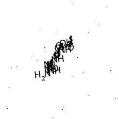 CCCC(C)(C)C(=O)CC[C@H](NC(=O)c1ccc(NCc2cnc3nc(N)[nH]c(=O)c3n2)cc1)C(=O)O